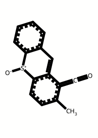 Cc1ccc2c(c1=C=O)=Cc1ccccc1[S+]2[O-]